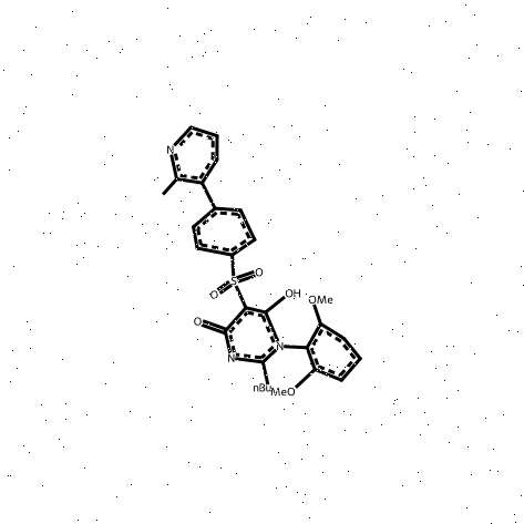 CCCCc1nc(=O)c(S(=O)(=O)c2ccc(-c3cccnc3C)cc2)c(O)n1-c1c(OC)cccc1OC